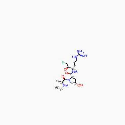 CC(C)[C@H](NC(=O)O)C(=O)N1C[C@@H](O)C[C@H]1C(=O)N[C@@H](CCCNC(=N)N)C(=O)CF